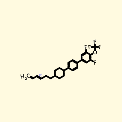 C=C/C=C/CCC1CCC(c2ccc(-c3cc(F)c(OC(F)(F)F)c(F)c3)cc2)CC1